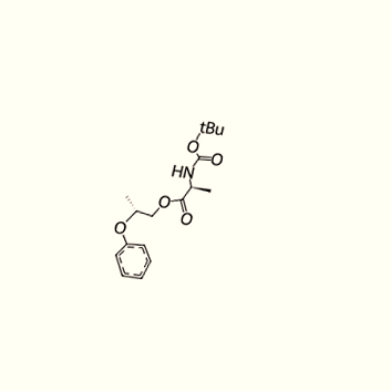 C[C@H](COC(=O)[C@H](C)NC(=O)OC(C)(C)C)Oc1ccccc1